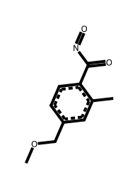 COCc1ccc(C(=O)N=O)c(C)c1